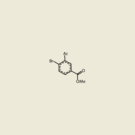 COC(=O)c1ccc(Br)c(C(C)=O)c1